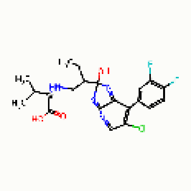 CCC(CN[C@H](C(=O)O)C(C)C)C1(O)N=c2ncc(Cl)c(-c3ccc(F)c(F)c3)c2=N1